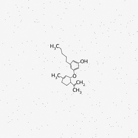 C=C(C)C1CCC(C)=CC1Oc1cc(O)cc(CCCCC)c1